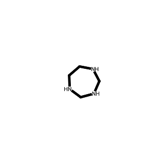 C1CNCNCN1